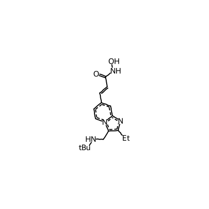 CCc1nc2cc(C=CC(=O)NO)ccn2c1CNC(C)(C)C